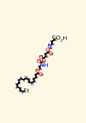 CC/C=C\C/C=C\C/C=C\C/C=C\C/C=C\CCCC(=O)OCCNC(=O)OC(=O)/C=C/C(=O)O/C=N/CCCC(=O)O